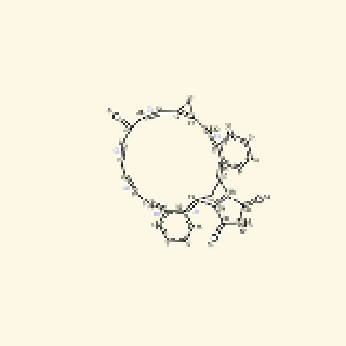 O=C1\C=C/C=C\N=c2\nccc\c2=C2/CC(=c3cccn/c3=N/C3=C(/C=C\1)C3)C1=C2C(=O)NC1=O